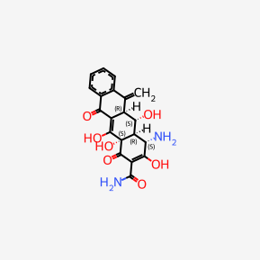 C=C1c2ccccc2C(=O)C2=C(O)[C@]3(O)C(=O)C(C(N)=O)=C(O)[C@@H](N)[C@@H]3[C@@H](O)[C@H]12